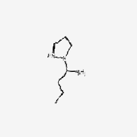 CCCC(N)N1CCCN1